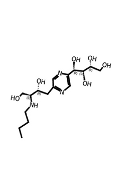 CCCCN[C@@H](CO)[C@H](O)Cc1cnc([C@@H](O)[C@H](O)[C@H](O)CO)cn1